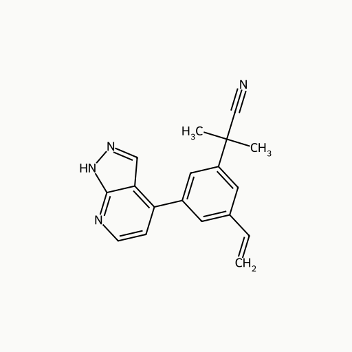 C=Cc1cc(-c2ccnc3[nH]ncc23)cc(C(C)(C)C#N)c1